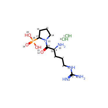 Cl.Cl.N=C(N)NCCC[C@H](N)C(=O)N1CCCC1P(=O)(O)O